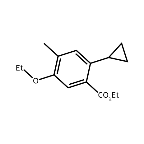 CCOC(=O)c1cc(OCC)c(C)cc1C1CC1